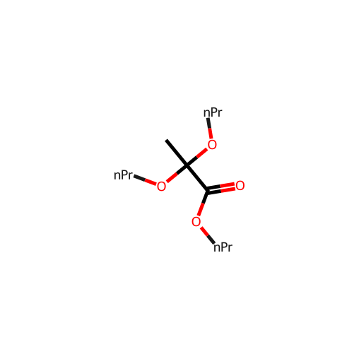 CCCOC(=O)C(C)(OCCC)OCCC